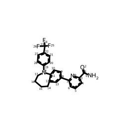 NC(=O)c1cccc(-c2ccc3c(c2)CCCCN3c2ccc(C(F)(F)F)cc2)n1